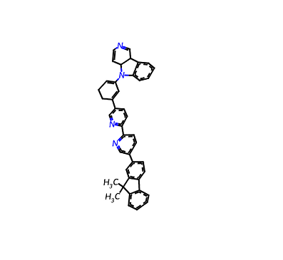 CC1(C)c2ccccc2-c2ccc(-c3ccc(-c4ccc(C5=CC(N6c7ccccc7C7C=NC=CC76)=CCC5)cn4)nc3)cc21